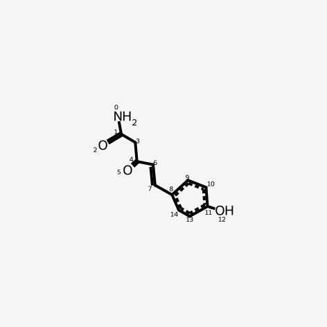 NC(=O)CC(=O)C=Cc1ccc(O)cc1